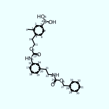 Cc1cc(B(O)O)ccc1CCOC(=O)Nc1cccc(CCNC(=O)OCc2ccccc2)c1